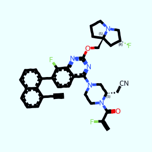 C#Cc1cccc2cccc(-c3ccc4c(N5CCN(C(=O)C(=C)F)[C@@H](CC#N)C5)nc(OC[C@@]56CCCN5C[C@H](F)C6)nc4c3F)c12